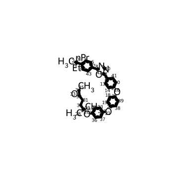 CCCC(C)(CC)c1ccc(-c2nnc(-c3ccc(Oc4ccc(Oc5ccc(OC(C)(C)CCC6OC6C)cc5)cc4)cc3)o2)cc1